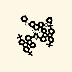 CC(C)(C)c1ccc2c(c1)C1(c3cc(C(C)(C)C)ccc3-2)c2ccccc2-c2c(-c3sc(-c4cccc5c4-c4ccccc4C54c5cc(C(C)(C)C)ccc5-c5ccc(C(C)(C)C)cc54)c4nc5c6cc(Oc7ccccc7)ccc6c6ccc(Oc7ccccc7)cc6c5nc34)cccc21